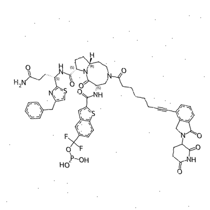 NC(=O)CC[C@H](NC(=O)[C@@H]1CC[C@@H]2CCN(C(=O)CCCCCC#Cc3cccc4c3CN(C3CCC(=O)NC3=O)C4=O)C[C@H](NC(=O)c3cc4cc(C(F)(F)OP(O)O)ccc4s3)C(=O)N21)c1nc(Cc2ccccc2)cs1